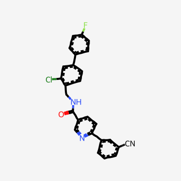 N#Cc1cccc(-c2ccc(C(=O)NCc3ccc(-c4ccc(F)cc4)cc3Cl)cn2)c1